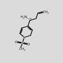 C=CC[C@@H](N)C1=CCN(S(C)(=O)=O)C=C1